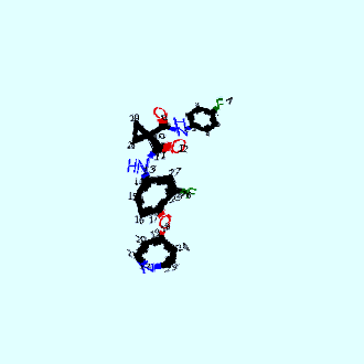 O=C(Nc1ccc(F)cc1)C1(C(=O)Nc2ccc(Oc3ccncc3)c(F)c2)CC1